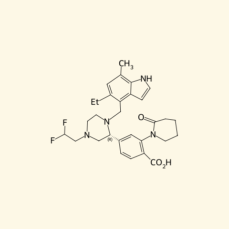 CCc1cc(C)c2[nH]ccc2c1CN1CCN(CC(F)F)C[C@H]1c1ccc(C(=O)O)c(N2CCCCC2=O)c1